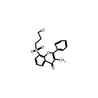 Cc1c(-c2ccccc2)oc2c(S(=O)(=O)CCCCl)cccc2c1=O